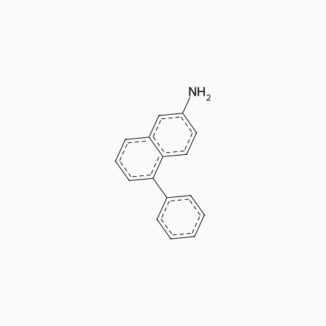 Nc1ccc2c(-c3ccccc3)cccc2c1